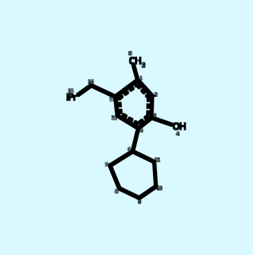 Cc1cc(O)c(C2CCCCC2)cc1CC(C)C